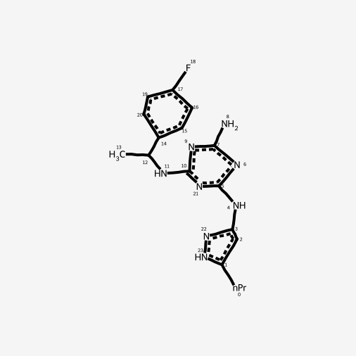 CCCc1cc(Nc2nc(N)nc(NC(C)c3ccc(F)cc3)n2)n[nH]1